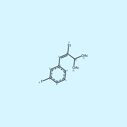 CCC(=Cc1cccc(F)c1)C(OC(C)=O)OC(C)=O